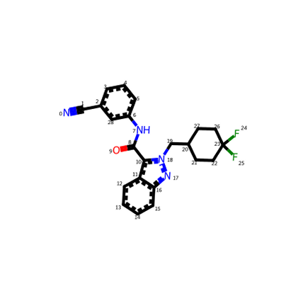 N#Cc1cccc(NC(=O)c2c3ccccc3nn2CC2CCC(F)(F)CC2)c1